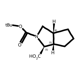 CC(C)(C)OC(=O)N1C[C@@H]2CCC[C@@H]2[C@H]1C(=O)O